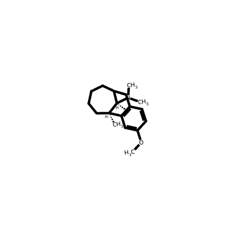 COc1ccc2c(c1)[C@@]1(C)CCCCC(C2)[C@H]1N(C)C